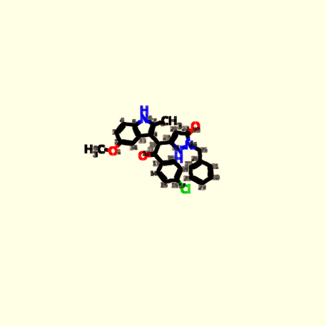 COc1ccc2[nH]c(C)c(C(C(=O)c3ccc(Cl)cc3)c3cc(=O)n(Cc4ccccc4)[nH]3)c2c1